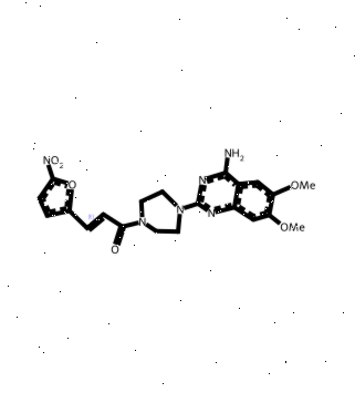 COc1cc2nc(N3CCN(C(=O)/C=C/c4ccc([N+](=O)[O-])o4)CC3)nc(N)c2cc1OC